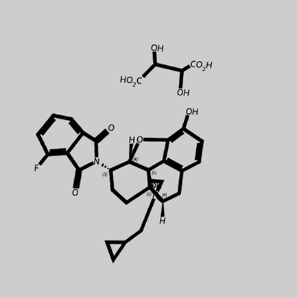 O=C(O)C(O)C(O)C(=O)O.O=C1c2cccc(F)c2C(=O)N1[C@H]1CC[C@@]2(O)[C@H]3Cc4ccc(O)c5c4[C@@]2(CCN3CC2CC2)[C@H]1O5